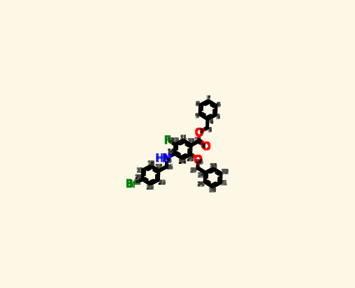 O=C(OCc1ccccc1)c1cc(F)c(NCc2ccc(Br)cc2)cc1OCc1ccccc1